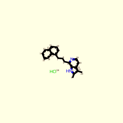 Cc1[nH]c2c(CCCc3cccc4ccccc34)nccc2c1C.Cl